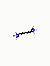 O=C1C=C(CCCCCCCCC2=CC(=O)NC2=O)C(=O)N1